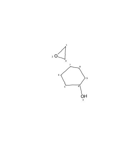 C1CO1.OC1CCCCC1